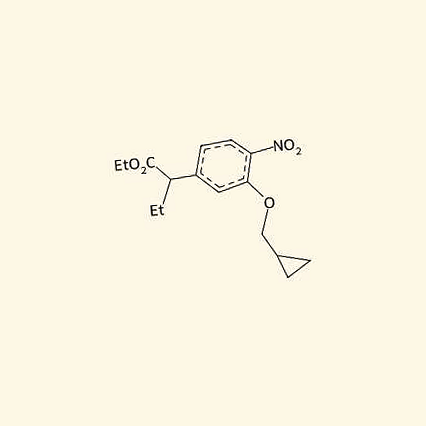 CCOC(=O)C(CC)c1ccc([N+](=O)[O-])c(OCC2CC2)c1